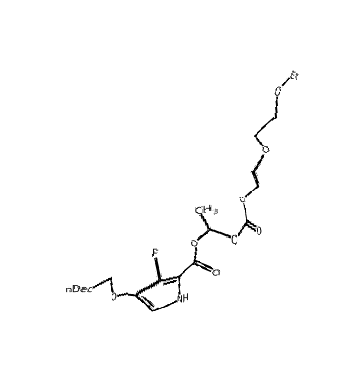 CCCCCCCCCCCOc1c[nH]c(C(=O)OC(C)OC(=O)OCCOCCOCC)c1F